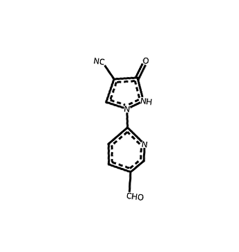 N#Cc1cn(-c2ccc(C=O)cn2)[nH]c1=O